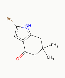 CC1(C)CC(=O)c2cc(Br)[nH]c2C1